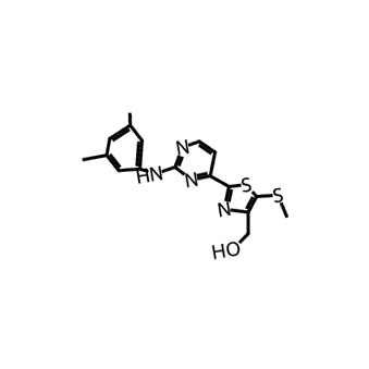 CSc1sc(-c2ccnc(Nc3cc(C)cc(C)c3)n2)nc1CO